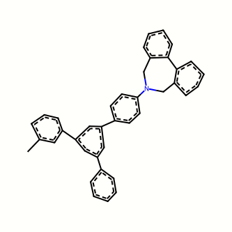 Cc1cccc(-c2cc(-c3ccccc3)cc(-c3ccc(N4Cc5ccccc5-c5ccccc5C4)cc3)c2)c1